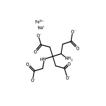 NC(CC(=O)[O-])C(CC(=O)[O-])(CC(=O)[O-])NCC(=O)[O-].[Fe+3].[Na+]